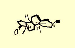 C#C[C@H]1CC[C@@]2(C)C(=CC[C@@H]3[C@@H]2CC[C@]2(C)C(=O)CC[C@@H]32)C1